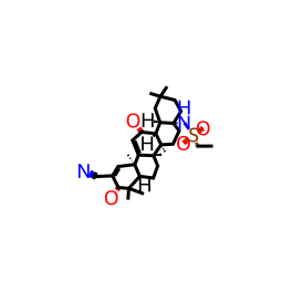 CCS(=O)(=O)N[C@@]12CCC(C)(C)C[C@H]1[C@H]1C(=O)C=C3[C@]4(C)C=C(C#N)C(=O)C(C)(C)[C@@H]4CC[C@@]3(C)[C@]1(C)CC2